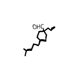 C=CCC1(C=O)CC=C(CCC=C(C)C)CC1